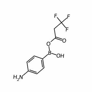 Nc1ccc(B(O)OC(=O)CC(F)(F)F)cc1